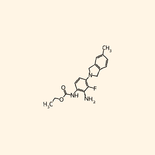 CCOC(=O)Nc1ccc(N2Cc3ccc(C)cc3C2)c(F)c1N